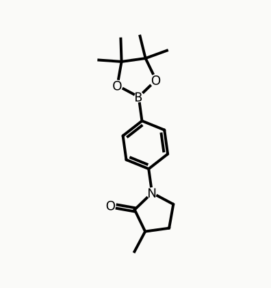 CC1CCN(c2ccc(B3OC(C)(C)C(C)(C)O3)cc2)C1=O